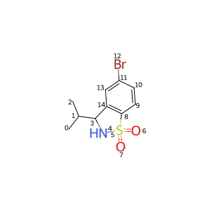 CC(C)C1NS(=O)(=O)c2ccc(Br)cc21